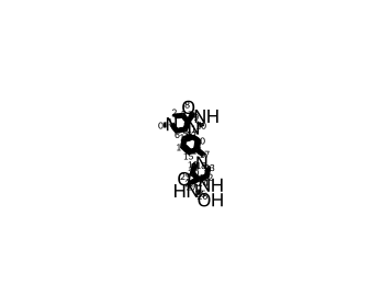 CN1CCC2(CC1)C(=O)NCN2c1cccc(CN2CCC3(CC2)NC(O)NC3=O)c1